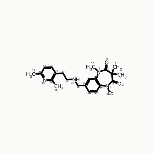 CCN1C(=O)C(C)(C)C(=O)N(C)c2cc(CNCCc3ccc(C)nc3C)ccc21